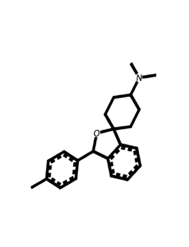 Cc1ccc(C2OC3(CCC(N(C)C)CC3)c3ccccc32)cc1